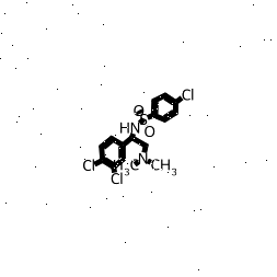 CN(C)CC(NS(=O)(=O)c1ccc(Cl)cc1)c1ccc(Cl)c(Cl)c1